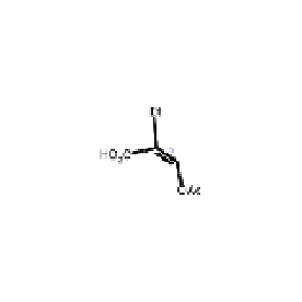 CC/C(=C/OC(C)=O)C(=O)O